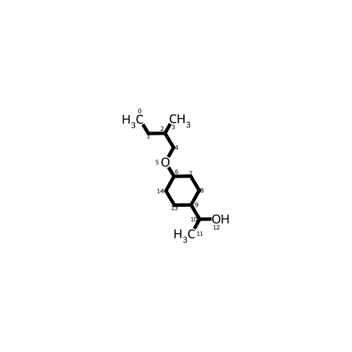 CCC(C)COC1CCC(C(C)O)CC1